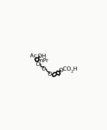 CCCc1c(OCCCOCCCOc2ccc3ccc(OCC(=O)O)cc3c2)ccc(C(C)=O)c1O